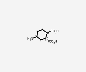 NC1CCN(C(=O)O)[C@H](C(=O)O)C1